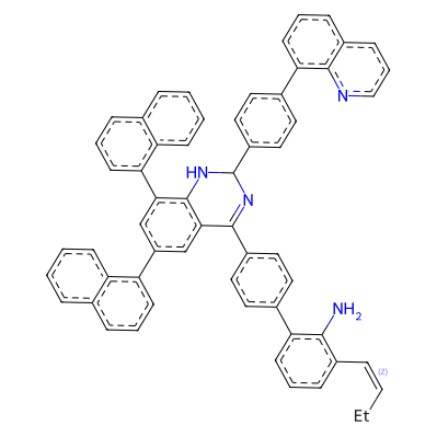 CC/C=C\c1cccc(-c2ccc(C3=NC(c4ccc(-c5cccc6cccnc56)cc4)Nc4c3cc(-c3cccc5ccccc35)cc4-c3cccc4ccccc34)cc2)c1N